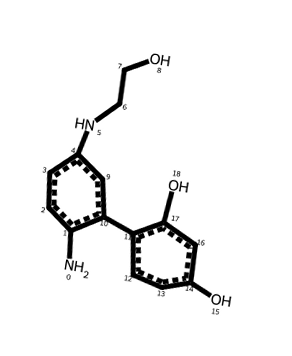 Nc1ccc(NCCO)cc1-c1ccc(O)cc1O